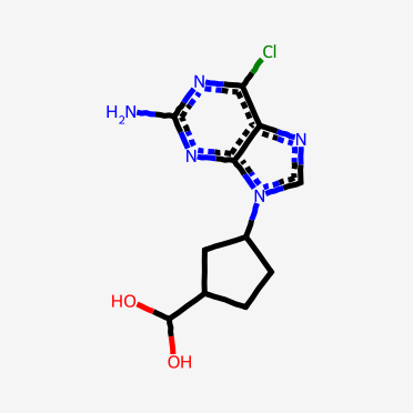 Nc1nc(Cl)c2ncn(C3CCC(C(O)O)C3)c2n1